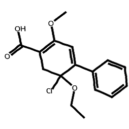 CCOC1(Cl)CC(C(=O)O)=C(OC)C=C1c1ccccc1